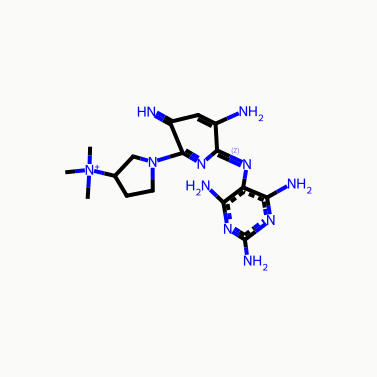 C[N+](C)(C)C1CCN(C2=N/C(=N\c3c(N)nc(N)nc3N)C(N)=CC2=N)C1